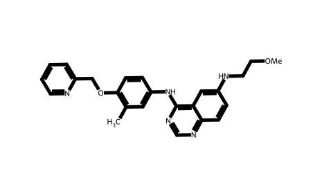 COCCNc1ccc2ncnc(Nc3ccc(OCc4ccccn4)c(C)c3)c2c1